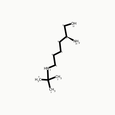 CC(C)(C)NCCCC[C@H](N)CO